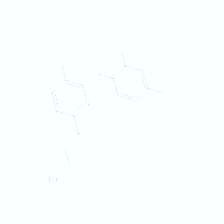 CC(C)(C)COCc1ccc(F)c(Oc2ccc(Cl)cc2Cl)n1